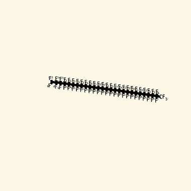 FC(F)C(F)(F)C(F)(F)C(F)(F)C(F)(F)C(F)(F)C(F)(F)C(F)(F)C(F)(F)C(F)(F)C(F)(F)C(F)(F)C(F)(F)C(F)(F)C(F)(F)C(F)(F)C(F)(F)C(F)(F)C(F)(F)C(F)(F)C(F)(F)C(F)(F)C(F)(F)C(F)(F)C(F)(F)C(F)(F)C(F)(F)F